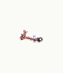 CC(=O)OCC1OC(OCCOCCOCCNC(=O)OCC2[C@H]3CCC#CCC[C@@H]23)C(OC(C)=O)C(C)C1C